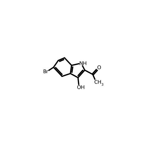 CC(=O)c1[nH]c2ccc(Br)cc2c1O